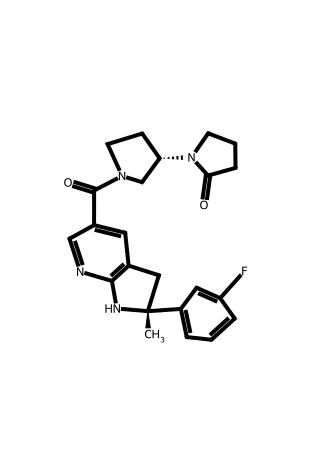 C[C@]1(c2cccc(F)c2)Cc2cc(C(=O)N3CC[C@H](N4CCCC4=O)C3)cnc2N1